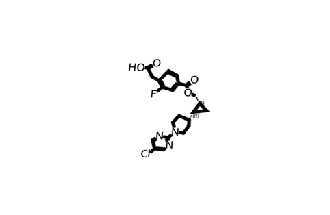 O=C(O)Cc1ccc(C(=O)OC[C@@H]2C[C@@H]2C2CCN(c3ncc(Cl)cn3)CC2)cc1F